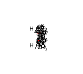 CC1(C)c2ccccc2N(c2ccccc2C2=CC=CC3c4cccc(-c5ccccc5N5c6ccccc6C(C)(C)c6ccccc65)c4S(=O)(=O)C23)c2ccccc21